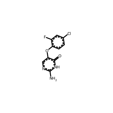 Nc1ncc(Oc2ccc(Cl)cc2F)c(=O)[nH]1